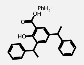 CC(c1ccccc1)c1cc(C(=O)O)c(O)c(C(C)c2ccccc2)c1.[PbH2]